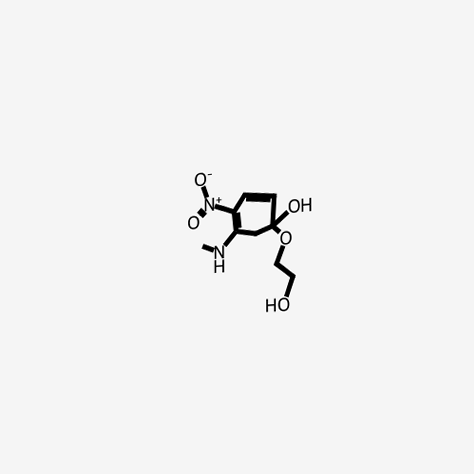 CNC1=C([N+](=O)[O-])C=CC(O)(OCCO)C1